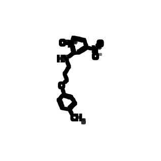 Cc1ccc(OCCCNc2cc([N+](=O)[O-])cc[n+]2[O-])cc1